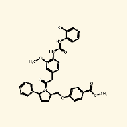 COC(=O)c1ccc(OCC2CCC(c3ccccc3)N2C(=O)Cc2ccc(NC(=O)Nc3ccccc3Cl)c(OC)c2)cc1